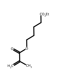 C=C(C)C(=O)OCCCCC(=O)OCC